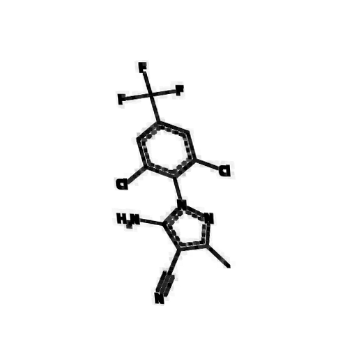 Cc1nn(-c2c(Cl)cc(C(F)(F)F)cc2Cl)c(N)c1C#N